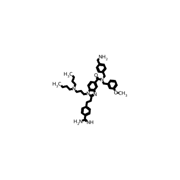 CCCCN(CCCC)CCCn1c(CCc2ccc(C(=N)N)cc2)nc2cc(C(=O)N(Cc3ccc(CN)cc3)Cc3cccc(OC)c3)ccc21